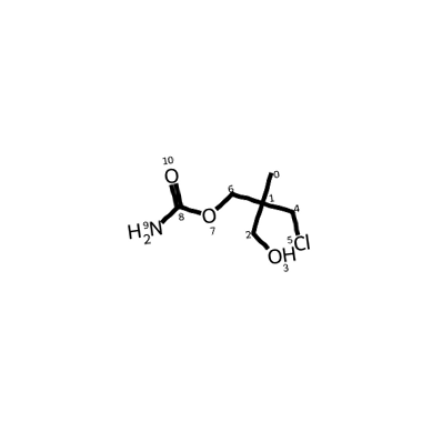 CC(CO)(CCl)COC(N)=O